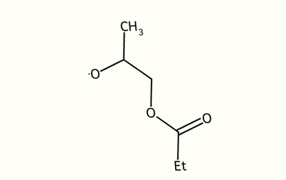 CCC(=O)OCC(C)[O]